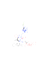 COC(C[C@H](O)CO)n1cc(C)c(=O)n(CCn2cc(CF)nn2)c1=O